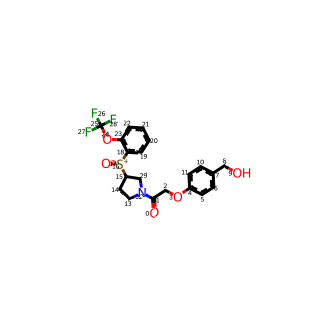 O=C(COc1ccc(CO)cc1)N1CCC([S+]([O-])c2ccccc2OC(F)(F)F)C1